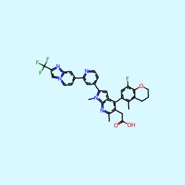 Cc1nc2c(cc(-c3ccnc(-c4ccn5cc(C(F)(F)F)nc5c4)c3)n2C)c(-c2cc(F)c3c(c2C)CCCO3)c1CC(=O)O